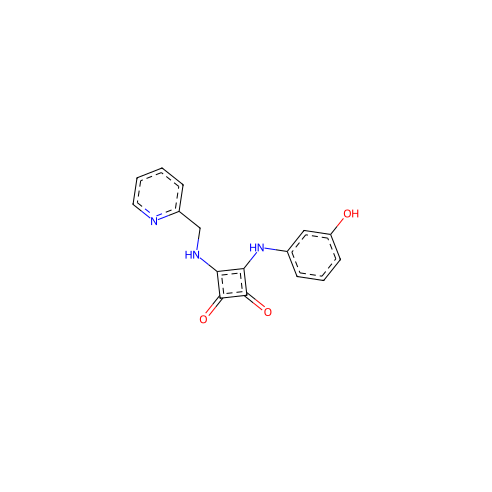 O=c1c(NCc2ccccn2)c(Nc2cccc(O)c2)c1=O